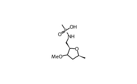 COC1C[C@H](C)O[C@@H]1CNP(C)(=O)O